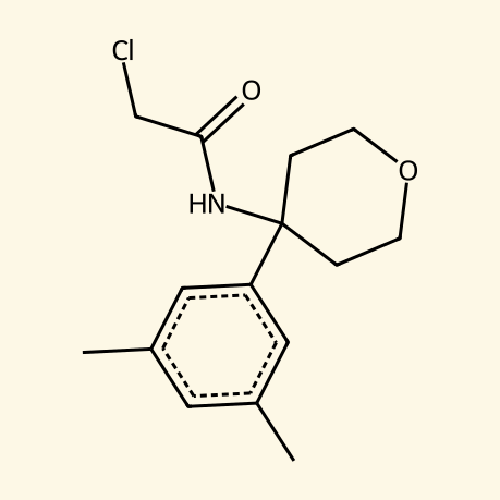 Cc1cc(C)cc(C2(NC(=O)CCl)CCOCC2)c1